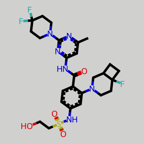 Cc1cc(NC(=O)c2ccc(NS(=O)(=O)CCO)cc2N2CCC3(F)CCC3C2)nc(N2CCC(F)(F)CC2)n1